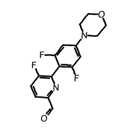 O=Cc1ccc(F)c(-c2c(F)cc(N3CCOCC3)cc2F)n1